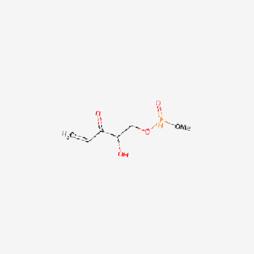 C=CC(=O)C(O)CO[PH](=O)OC